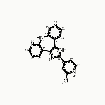 Clc1cc(-c2nc3c([nH]2)-c2ccncc2Nc2ncccc2-3)ccn1